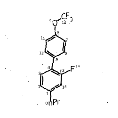 CCCc1ccc(-c2ccc(OC(F)(F)F)cc2)c(F)c1